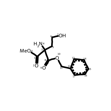 COC(=O)C(N)(CCO)C(=O)OCc1ccccc1